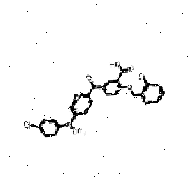 CN(c1ccc(Cl)cc1)c1ccc(C(=O)c2ccc(OCc3ccccc3Cl)c(C(=O)O)c2)nc1